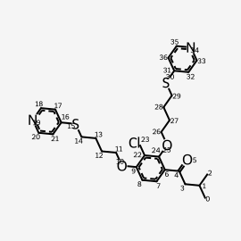 CC(C)CC(=O)c1ccc(OCCCCSc2ccncc2)c(Cl)c1OCCCCSc1ccncc1